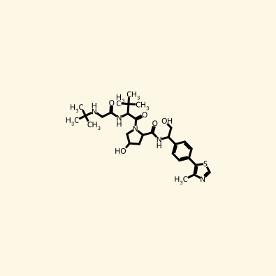 Cc1ncsc1-c1ccc(C(CO)NC(=O)C2CC(O)CN2C(=O)C(NC(=O)CNC(C)(C)C)C(C)(C)C)cc1